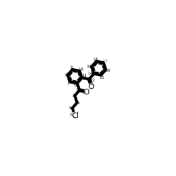 O=C(CCCCl)c1ccccc1C(=O)c1ccccc1